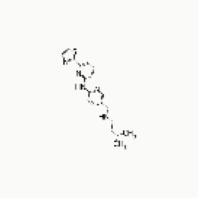 CC(C)CCNCc1ccc(Nc2cccc(-c3nccs3)n2)nc1